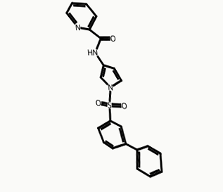 O=C(Nc1ccn(S(=O)(=O)c2cccc(-c3ccccc3)c2)c1)c1ccccn1